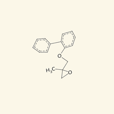 CC1(COc2ccccc2-c2ccccc2)CO1